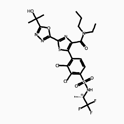 CCCN(CC)C(=O)c1nc(-c2nnc(C(C)(C)O)o2)sc1-c1ccc(S(=O)(=O)N[C@@H](C)C(F)(F)F)c(Cl)c1Cl